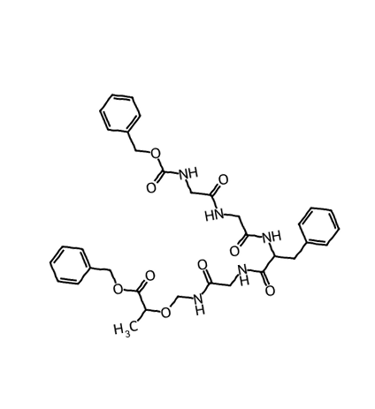 CC(OCNC(=O)CNC(=O)C(Cc1ccccc1)NC(=O)CNC(=O)CNC(=O)OCc1ccccc1)C(=O)OCc1ccccc1